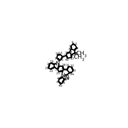 CC1(C)c2ccccc2-c2cc(-c3cccc(-n4c5ccccc5c5cc6c(cc54)c4ccccc4c4nc5ccccc5n64)c3)ccc21